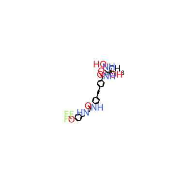 C[C@@H](O)[C@H](NC(=O)c1ccc(C#Cc2ccc(NC(=O)CNCc3ccc(OC(F)(F)F)cc3)cc2)cc1)C(=O)NO